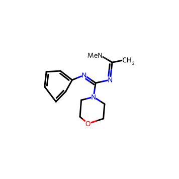 CN/C(C)=N\C(=N\c1ccccc1)N1CCOCC1